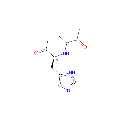 CC(=O)C(C)N[C@@H](Cc1cnc[nH]1)C(C)=O